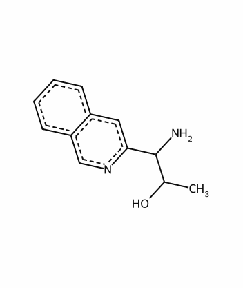 CC(O)C(N)c1cc2ccccc2cn1